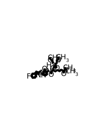 COCCN(CCOC)C(=O)OC(CCC=CC(=O)N(C)C)C(=O)Nc1cccn(Cc2cc3cc(F)ccc3[nH]2)c1=O